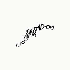 O=C(Nc1ccc2cc(CN3CCC(c4ccc(Cl)cc4)CC3)ccc2c1)N1CCC(c2ccc(Cl)cc2)CC1